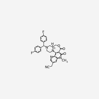 Cn1c(=O)c2c(c3ncc(CC#N)cc31)N1CCN(C(c3ccc(F)cc3)c3ccc(F)cc3)C[C@@H]1COC2=O